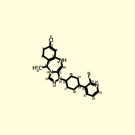 CC1C2=C(C=C(Cl)CC2)NC=C2N1C=NN2C1CCC(c2cccnc2F)CC1